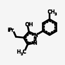 Cc1cccc(-n2nc(C)c(CC(C)C)c2O)c1